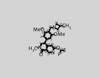 COc1cc(-c2cn(C)c(=O)c3cnc(OC(F)F)cc23)cc(OC)c1CN1CC(C)C1